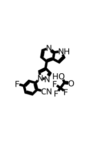 N#Cc1ccc(F)cc1-n1cc(-c2ccnc3[nH]ccc23)cn1.O=C(O)C(F)(F)F